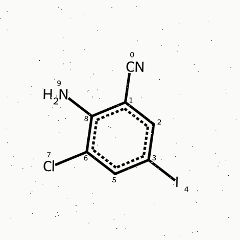 N#Cc1cc(I)cc(Cl)c1N